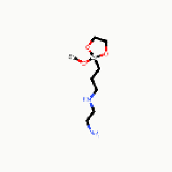 CCO[Si]1(CCCNCCN)OCCO1